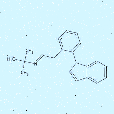 CC(C)(C)N=CCc1ccccc1C1C=Cc2ccccc21